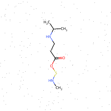 CNSOC(=O)CCNC(C)C